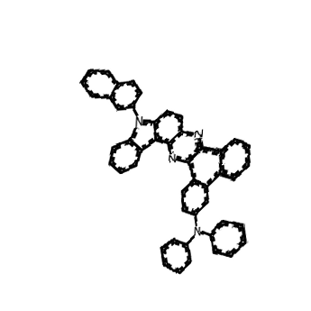 c1ccc(N(c2ccccc2)c2ccc3c(c2)c2ccccc2c2nc4ccc5c(c6ccccc6n5-c5ccc6ccccc6c5)c4nc32)cc1